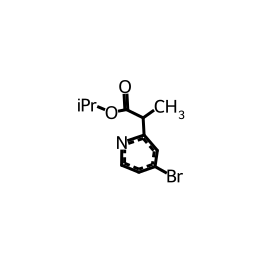 CC(C)OC(=O)C(C)c1cc(Br)ccn1